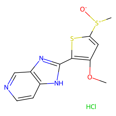 COc1cc([S+](C)[O-])sc1-c1nc2cnccc2[nH]1.Cl